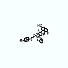 C#Cc1c(F)ccc2cc(O)cc(-c3ncc4c(N5CC6CCC(C5)N6)nc(OCCN(C)C56CC7CC8(NC)CC(C5)C76C8)nc4c3F)c12